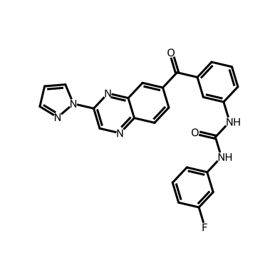 O=C(Nc1cccc(F)c1)Nc1cccc(C(=O)c2ccc3ncc(-n4cccn4)nc3c2)c1